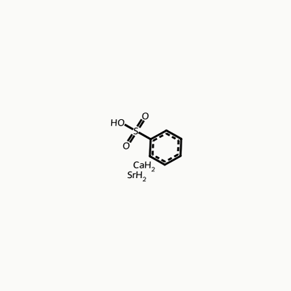 O=S(=O)(O)c1ccccc1.[CaH2].[SrH2]